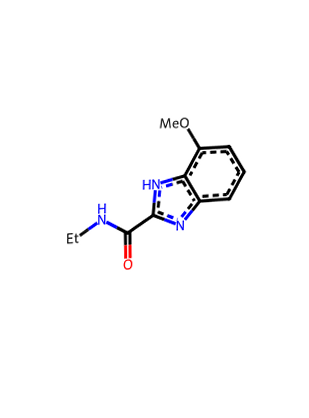 CCNC(=O)c1nc2cccc(OC)c2[nH]1